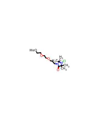 COCCOCCOCCCN1C(=O)C(C)(C)N(Cl)C1(C)C